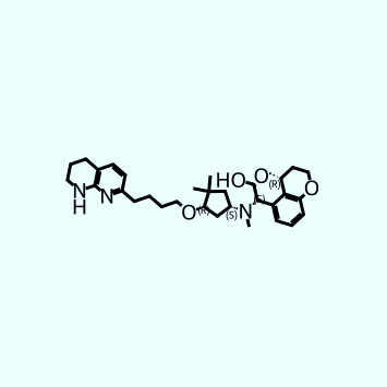 C[C@@H]1CCOc2cccc([C@@H](C(=O)O)N(C)[C@@H]3C[C@@H](OCCCCc4ccc5c(n4)NCCC5)C(C)(C)C3)c21